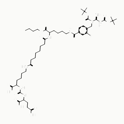 CCCCOC(=O)C(CCCCNC(=O)c1ccc(CN(C(=N)NC(=O)OC(C)(C)C)C(=O)OC(C)(C)C)c(I)c1)NC(=O)CCCCCCC(=O)NCCCCC(NC(=O)NC(CCC(=O)O)C(=O)O)C(=O)O